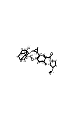 C=C[C@H]1CCN(C(=O)c2cc(C3CC3)c(OC[C@]34CC5CC(C[C@H](C5)C3)C4)cc2F)C1